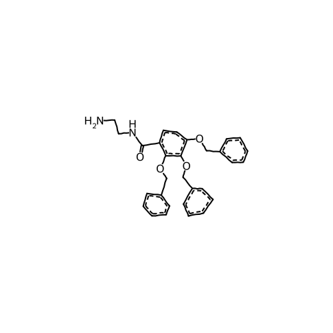 NCCNC(=O)c1ccc(OCc2ccccc2)c(OCc2ccccc2)c1OCc1ccccc1